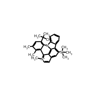 Cc1cc(C(C)(C)C)c2c(c1C)c1c3c(cc[n+]1C)cc([Si](C)(C)C)c1c4ccccc4n2c13